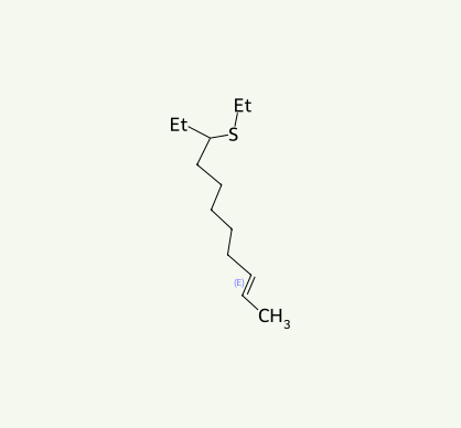 C/C=C/CCCCCC(CC)SCC